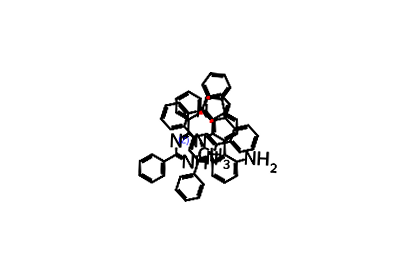 CN(/C(=N\C(=N)c1ccccc1)c1ccccc1)c1c(-c2ccccc2N)ccc2c3ccccc3n(-c3ccccc3-c3cc(-c4ccccc4)nc(-c4ccccc4-c4ccccc4)c3)c12